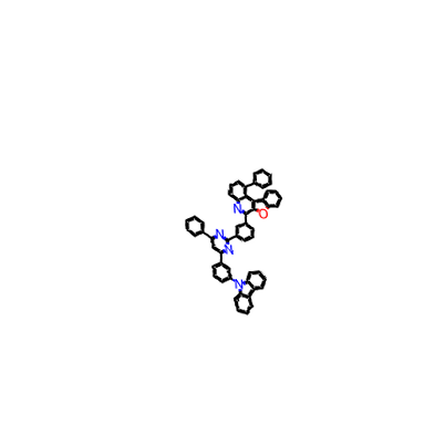 c1ccc(-c2cc(-c3cccc(-n4c5ccccc5c5ccccc54)c3)nc(-c3cccc(-c4nc5cccc(-c6ccccc6)c5c5c4oc4ccccc45)c3)n2)cc1